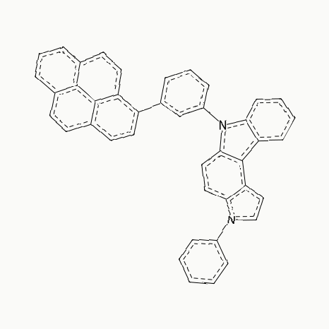 c1ccc(-n2ccc3c4c5ccccc5n(-c5cccc(-c6ccc7ccc8cccc9ccc6c7c89)c5)c4ccc32)cc1